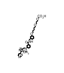 Cn1c(CNc2cccc(C(=O)NCc3cccc(OCCCCCOCCCOCC(=O)O)c3)c2)nnc1-c1ccncn1